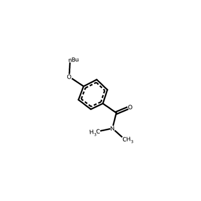 CCCCOc1ccc(C(=O)N(C)C)cc1